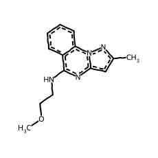 COCCNc1nc2cc(C)nn2c2ccccc12